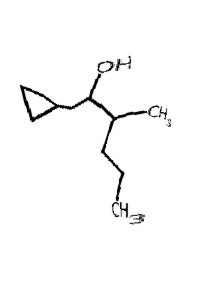 CCCC(C)C(O)C1CC1